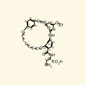 CCOc1nc2nc(n1)Nc1ccc(C(=O)N[C@@H](CN)C(=O)O)c(c1)OCCCCCCOc1ccc(cc1)CN2